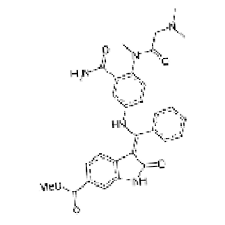 COC(=O)c1ccc2c(c1)NC(=O)C2=C(Nc1ccc(N(C)C(=O)CN(C)C)c(C(N)=O)c1)c1ccccc1